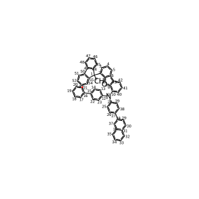 CC1(c2cccc3c2oc2c(N(c4ccc(-c5ccccc5)cc4)c4ccc(-c5ccc6ccccc6c5)cc4)cccc23)c2ccccc2-c2ccccc21